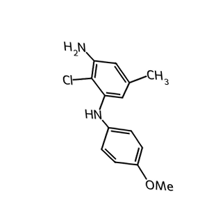 COc1ccc(Nc2cc(C)cc(N)c2Cl)cc1